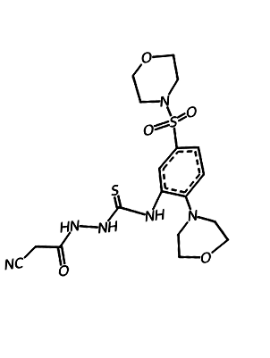 N#CCC(=O)NNC(=S)Nc1cc(S(=O)(=O)N2CCOCC2)ccc1N1CCOCC1